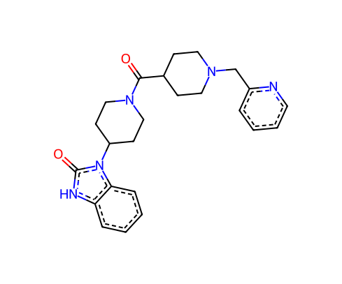 O=C(C1CCN(Cc2ccccn2)CC1)N1CCC(n2c(=O)[nH]c3ccccc32)CC1